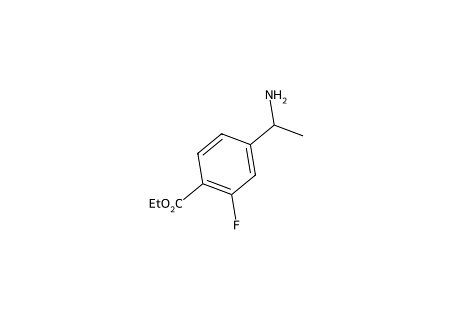 CCOC(=O)c1ccc(C(C)N)cc1F